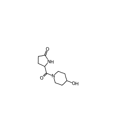 O=C1CCC(C(=O)N2CCC(O)CC2)N1